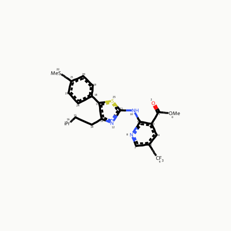 COC(=O)c1cc(C(F)(F)F)cnc1Nc1nc(CCC(C)C)c(-c2ccc(SC)cc2)s1